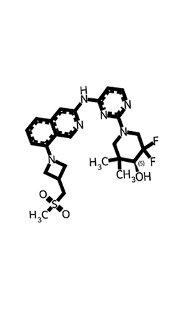 CC1(C)CN(c2nccc(Nc3cc4cccc(N5CC(CS(C)(=O)=O)C5)c4cn3)n2)CC(F)(F)[C@H]1O